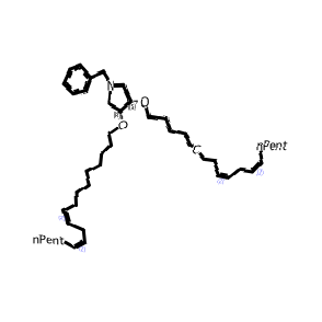 CCCCC/C=C\C/C=C\CCCCCCCCO[C@H]1CN(Cc2ccccc2)C[C@H]1OCCCCCCCC/C=C\C/C=C\CCCCC